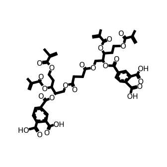 C=C(C)C(=O)OCCC(OC(=O)C(=C)C)C(COC(=O)CCC(=O)OCC(OC(=O)c1ccc(C(=O)O)c(C(=O)O)c1)C(CCOC(=O)C(=C)C)OC(=O)C(=C)C)OC(=O)c1ccc(C(=O)O)c(C(=O)O)c1